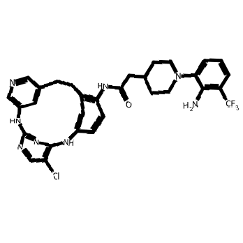 Nc1c(N2CCC(CC(=O)Nc3ccc4cc3CCc3cncc(c3)Nc3ncc(Cl)c(n3)N4)CC2)cccc1C(F)(F)F